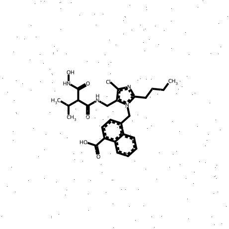 CCCCc1nc(Cl)c(CNC(=O)C(C(=O)NO)C(C)C)n1Cc1ccc(C(=O)O)c2ccccc12